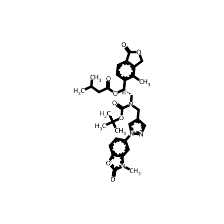 Cc1c([C@H](CN(Cc2cnn(-c3ccc4oc(=O)n(C)c4c3)c2)C(=O)OC(C)(C)C)OC(=O)CC(C)C)ccc2c1COC2=O